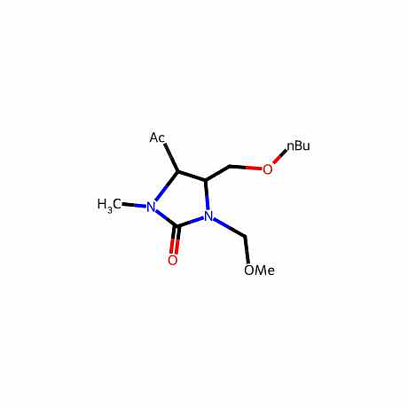 CCCCOCC1C(C(C)=O)N(C)C(=O)N1COC